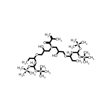 C=C(C)C(=O)N(CC(O)COC(CC)[SiH2]C(O[Si](C)(C)C)O[Si](C)(C)C)CC(O)COC(CC)[SiH2]C(O[Si](C)(C)C)O[Si](C)(C)C